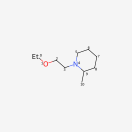 CCOCCN1CCCCC1C